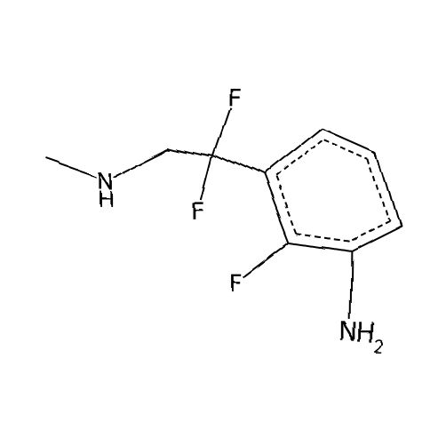 CNCC(F)(F)c1cccc(N)c1F